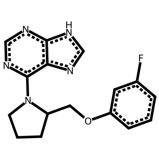 Fc1cccc(OCC2CCCN2c2ncnc3[nH]cnc23)c1